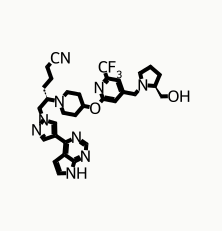 N#CCCC[C@@H](Cn1cc(-c2ncnc3[nH]ccc23)cn1)N1CCC(Oc2cc(CN3CCC[C@H]3CO)cc(C(F)(F)F)n2)CC1